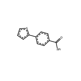 CCCC(=O)c1ccc(-c2cccs2)cc1